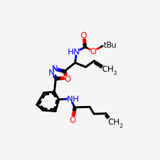 C=CCCC(=O)Nc1ccccc1-c1nnc(C(CC=C)NC(=O)OC(C)(C)C)o1